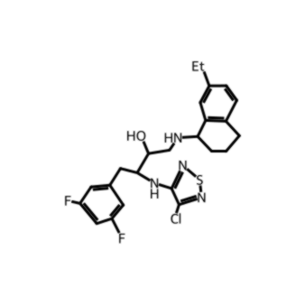 CCc1ccc2c(c1)C(NCC(O)C(Cc1cc(F)cc(F)c1)Nc1nsnc1Cl)CCC2